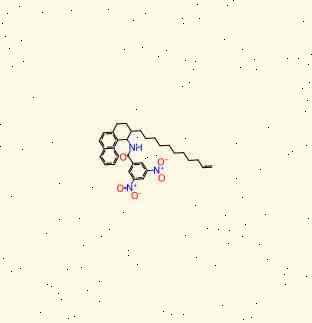 C=CCCCCCCCCCC1CCc2ccc3ccccc3c2C1NC(=O)c1cc([N+](=O)[O-])cc([N+](=O)[O-])c1